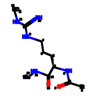 CCC(=O)N[C@@H](CCCNC(=N)N[N+](=O)[O-])C(=O)NC(C)(C)C